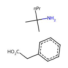 CCCC(C)(C)N.O=C(O)Cc1ccccc1